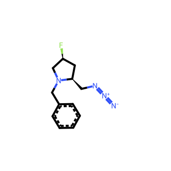 [N-]=[N+]=NC[C@@H]1C[C@H](F)CN1Cc1ccccc1